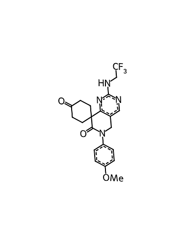 COc1ccc(N2Cc3cnc(NCC(F)(F)F)nc3C3(CCC(=O)CC3)C2=O)cc1